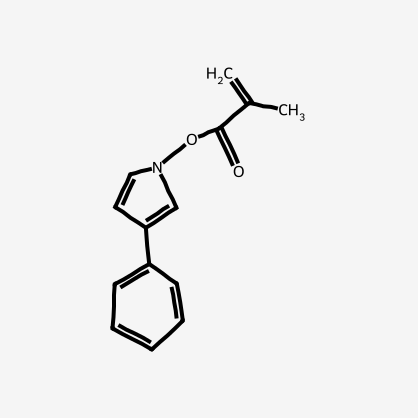 C=C(C)C(=O)On1ccc(-c2ccccc2)c1